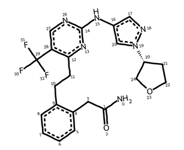 NC(=O)Cc1ccccc1CCc1nc(Nc2cnn([C@@H]3CCOC3)c2)ncc1C(F)(F)F